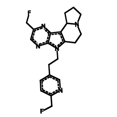 FCc1ccc(CCn2c3c(c4nc(CF)cnc42)C2CCCN2CC3)cn1